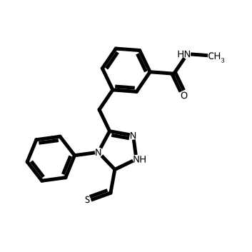 CNC(=O)c1cccc(CC2=NNC(C=S)N2c2ccccc2)c1